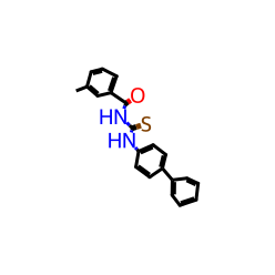 Cc1cccc(C(=O)NC(=S)Nc2ccc(-c3ccccc3)cc2)c1